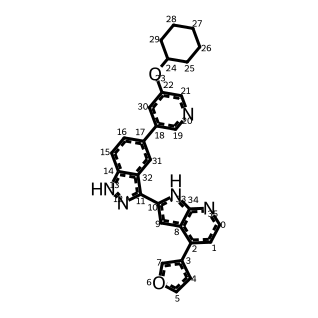 c1cc(-c2ccoc2)c2cc(-c3n[nH]c4ccc(-c5cncc(OC6CCCCC6)c5)cc34)[nH]c2n1